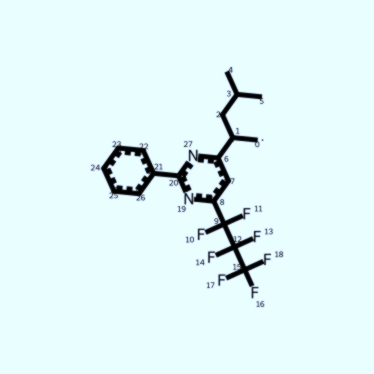 [CH2][C](CC(C)C)c1cc(C(F)(F)C(F)(F)C(F)(F)F)nc(-c2ccccc2)n1